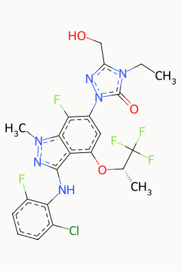 CCn1c(CO)nn(-c2cc(O[C@@H](C)C(F)(F)F)c3c(Nc4c(F)cccc4Cl)nn(C)c3c2F)c1=O